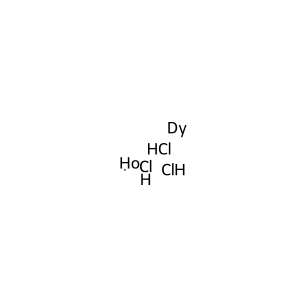 Cl.Cl.Cl.[Dy].[Ho]